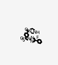 C[S+]([O-])c1cn(-c2ncc(-c3ccccc3F)cn2)c2cc(C(=O)N3CCCNCC3)ccc12